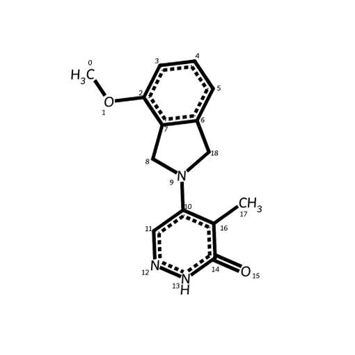 COc1cccc2c1CN(c1cn[nH]c(=O)c1C)C2